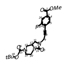 COC(=O)c1ccc(C#CCN2CC3CN(C(=O)OC(C)(C)C)CCN3C2=O)c(F)c1